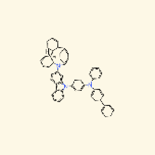 C1=CC2C3=CC=C(CC3)N(c3ccc4c5ccccc5n(C5=CC=C(N(C6=CCC(C7=CCCC=C7)C=C6)c6ccccc6)CC5)c4c3)C3C=CC=C[C@@H]3C2C=C1